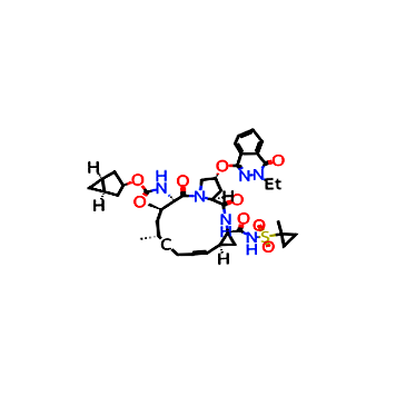 CCn1nc(O[C@@H]2C[C@H]3C(=O)N[C@]4(C(=O)NS(=O)(=O)C5(C)CC5)C[C@H]4/C=C\CC[C@H](C)C[C@@H](C)[C@H](NC(=O)O[C@@H]4C[C@@H]5C[C@@H]5C4)C(=O)N3C2)c2ccccc2c1=O